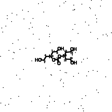 O=C(ON(CCO)CCO)ON(CCO)CCO